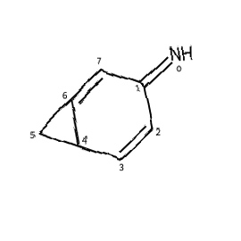 N=C1C=CC2CC2=C1